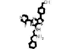 NC(CNc1nc(-c2ccncc2F)nc2c(-c3ccc(CO)cc3)csc12)Cc1ccccc1